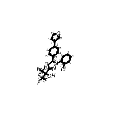 OC(C1=NN(c2ccccc2Cl)C(c2ccc(-c3ccoc3)cc2)C1)(C(F)(F)F)C(F)(F)F